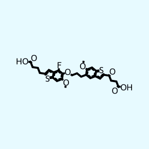 COc1cc2sc(C(=O)CCC(=O)O)cc2cc1CCCOc1c(OC)cc2sc(CCCC(=O)O)cc2c1F